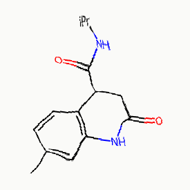 Cc1ccc2c(c1)NC(=O)CC2C(=O)NC(C)C